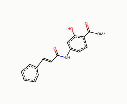 COC(=O)c1ccc(NC(=O)/C=C/c2ccccc2)cc1O